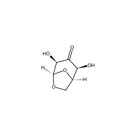 O=C1[C@@H](O)[C@H]2CO[C@H](O2)[C@H]1O